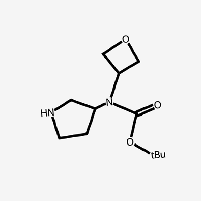 CC(C)(C)OC(=O)N(C1CCNC1)C1COC1